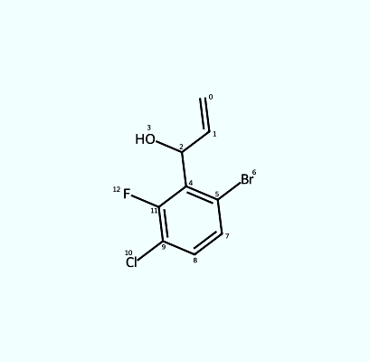 C=CC(O)c1c(Br)ccc(Cl)c1F